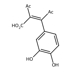 CC(=O)C(C(=O)O)=C(C(C)=O)c1ccc(O)c(O)c1